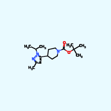 Cc1cc(C2CCN(C(=O)OC(C)(C)C)CC2)n(C(C)C)n1